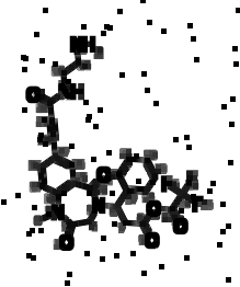 CN1C(=O)CN(C(CC(=O)OC(=O)C(F)(F)F)c2ccccc2)C(=O)c2cc(C#CC(=O)NCCN)ccc21